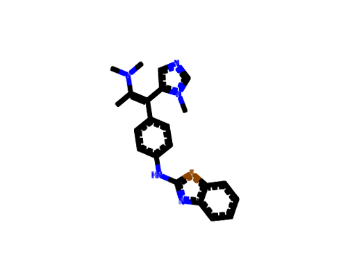 C/C(=C(\c1ccc(Nc2nc3ccccc3s2)cc1)c1cncn1C)N(C)C